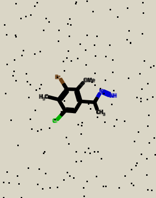 COc1c(C(C)N=N)cc(Cl)c(C)c1Br